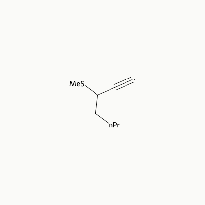 [C]#CC(CCCC)SC